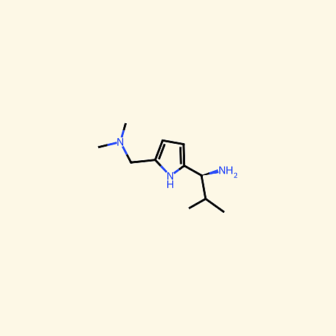 CC(C)[C@H](N)c1ccc(CN(C)C)[nH]1